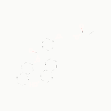 C=CC(=O)OCCOc1ccc(C(=O)Oc2ccc3ccccc3c2-c2c(O)ccc3ccccc23)cc1